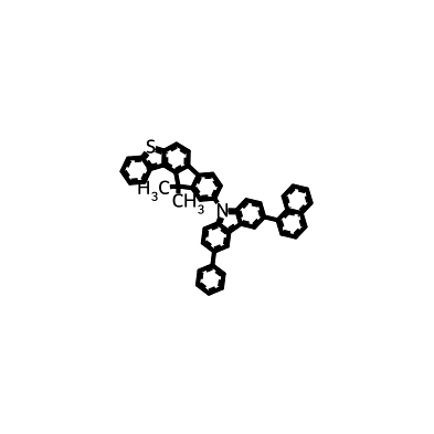 CC1(C)c2cc(-n3c4ccc(-c5ccccc5)cc4c4cc(-c5cccc6ccccc56)ccc43)ccc2-c2ccc3sc4ccccc4c3c21